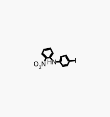 O=[N+]([O-])c1ccccc1Nc1ccc(I)cc1